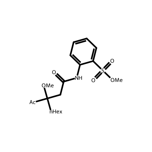 CCCCCCC(CC(=O)Nc1ccccc1S(=O)(=O)OC)(OC)C(C)=O